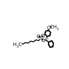 CCCCCCCCS(=O)(=O)O[I+](c1ccccc1)c1ccc(OC)cc1